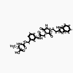 C[C@H](NC(=O)OCc1cccc(NC(=O)CN2C(=O)N[C@@H](CCc3nc4ccccc4[nH]3)C2=O)c1)C(=O)O